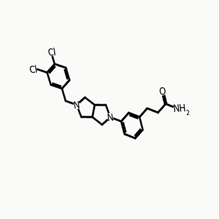 NC(=O)CCc1cccc(N2CC3CN(Cc4ccc(Cl)c(Cl)c4)CC3C2)c1